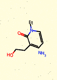 CCn1cccc(CCO)c1=O.N